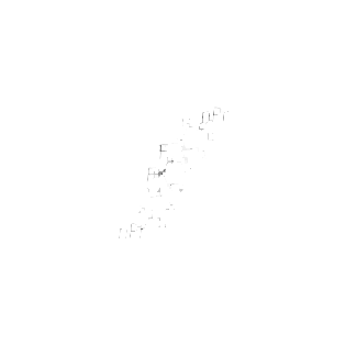 CCCC1CCC(C2CCC(C3CCC(CCC)CC3)C(F)C2F)CC1